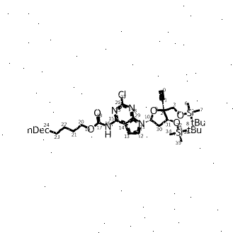 C#C[C@]1(CO[Si](C)(C)C(C)(C)C)O[C@@H](n2ccc3c(NC(=O)OCCCCCCCCCCCCCC)nc(Cl)nc32)C[C@@H]1O[Si](C)(C)C(C)(C)C